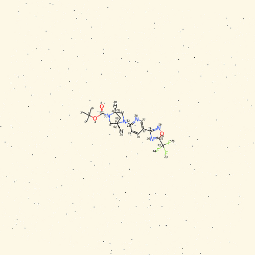 CC(C)(C)OC(=O)N1C[C@@H]2C[C@H]1CN2c1ccc(-c2noc(C(F)(F)F)n2)cn1